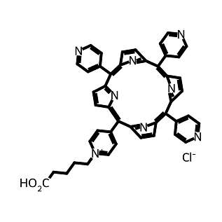 O=C(O)CCCC[n+]1ccc(C2=C3C=CC(=N3)C(c3ccncc3)=C3C=CC(=N3)C(c3ccncc3)=C3C=CC(=N3)C(c3ccncc3)=C3C=CC2=N3)cc1.[Cl-]